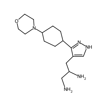 NCC(N)Cc1c[nH]nc1C1CCC(N2CCOCC2)CC1